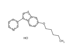 CCCCCOc1ccc2c(-c3cccnc3)csc2c1.Cl